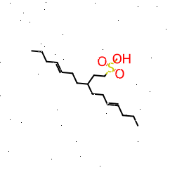 CCCC=CCCC(CCC=CCCC)CCS(=O)(=O)O